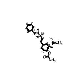 CC(=O)Oc1ccc(/C=C/S(=O)(=O)NCc2ccccc2)cc1OC(C)=O